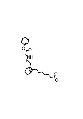 O=C(O)CCCCCCC1C2CCC(O2)C1C=NNCC(=O)Oc1ccccc1